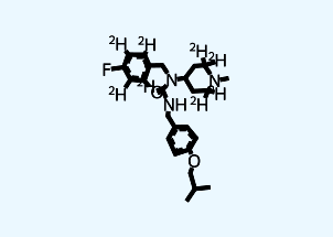 [2H]c1c([2H])c(CN(C(=O)NCc2ccc(OCC(C)C)cc2)C2CC([2H])([2H])N(C)C([2H])([2H])C2)c([2H])c([2H])c1F